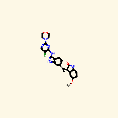 COc1ccc2c(c1)[C@]1(C[C@H]1c1ccc3c(Nc4nc(N5CCOCC5)ncc4Cl)n[nH]c3c1)C(=O)N2